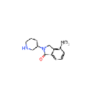 O=C1c2cccc([N+](=O)[O-])c2CN1C1CCCNC1